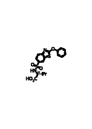 CC(C)[C@@H](NS(=O)(=O)c1ccc2nc(Oc3ccccc3)sc2c1)C(=O)O